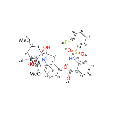 COC1C[C@]2(O)C3CC4C5(C6CC1[C@H](OC)[C@@]62O)[C@@H](OC)CC[C@@]4(OC(=O)c1ccccc1NS(=O)(=O)c1ccccc1F)[C@H](C)N35